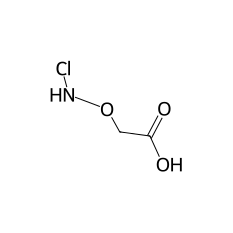 O=C(O)CONCl